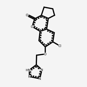 O=c1oc2cc(OCc3nnn[nH]3)c(Cl)cc2c2c1CCC2